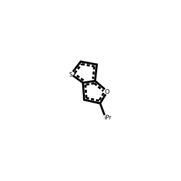 CC(C)c1cc2sccc2o1